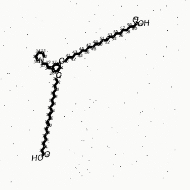 O=C(O)CCCCCCCC=CCC=CCCCCCCCCCOc1cc(CCCN2CCCCC2)cc(OCCCCCCCCCC=CCC=CCCCCCCCC(=O)O)c1